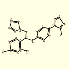 Cc1nccn1-c1ccc(SC(Cn2ccnc2)c2ccc(Cl)cc2Cl)cc1